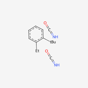 CCc1ccccc1C(C)(C)C.N=C=O.N=C=O